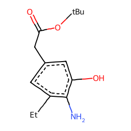 CCc1cc(CC(=O)OC(C)(C)C)cc(O)c1N